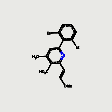 CCc1cccc(CC)c1-c1cc(C)c(C(=O)O)c(/C=C/OC)n1